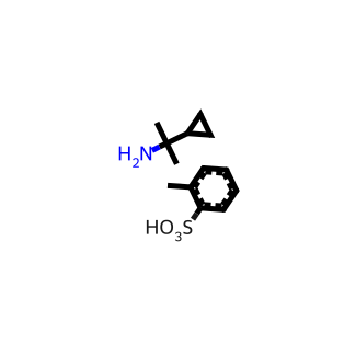 CC(C)(N)C1CC1.Cc1ccccc1S(=O)(=O)O